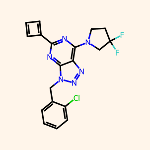 FC1(F)CCN(c2nc(C3=CC=C3)nc3c2nnn3Cc2ccccc2Cl)C1